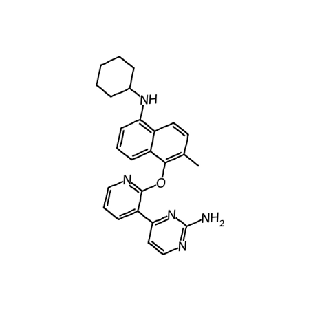 Cc1ccc2c(NC3CCCCC3)cccc2c1Oc1ncccc1-c1ccnc(N)n1